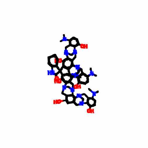 CN(C)c1ccc(O)c2c1CN1CN2Cc2c1c(O)c(C1(c3cc(N(C)C)c4c(c3O)N3Cc5c(O)cc6c(c5N(C4)C3)N3Cc4c(N(C)C)ccc(O)c4N(C6)C3)C(=O)Nc3ccccc31)c1c2N2Cc3c(N(C)C)ccc(O)c3N(C1)C2